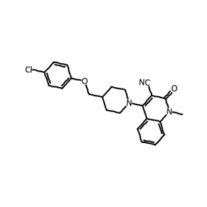 Cn1c(=O)c(C#N)c(N2CCC(COc3ccc(Cl)cc3)CC2)c2ccccc21